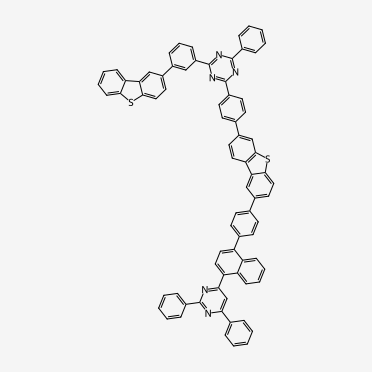 c1ccc(-c2cc(-c3ccc(-c4ccc(-c5ccc6sc7cc(-c8ccc(-c9nc(-c%10ccccc%10)nc(-c%10cccc(-c%11ccc%12sc%13ccccc%13c%12c%11)c%10)n9)cc8)ccc7c6c5)cc4)c4ccccc34)nc(-c3ccccc3)n2)cc1